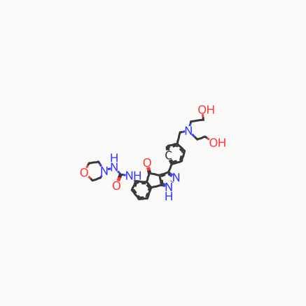 O=C(Nc1cccc2c1C(=O)c1c(-c3ccc(CN(CCO)CCO)cc3)n[nH]c1-2)NN1CCOCC1